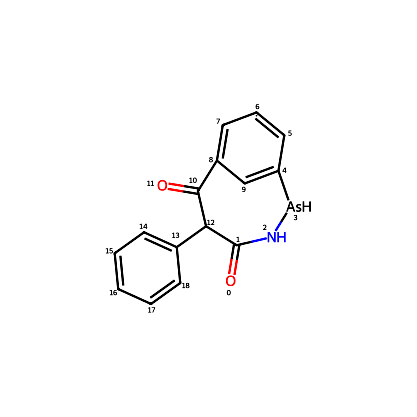 O=C1N[AsH]c2c[c]cc(c2)C(=O)C1c1ccccc1